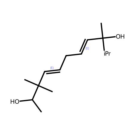 CC(O)C(C)(C)/C=C/C/C=C/C(C)(O)C(C)C